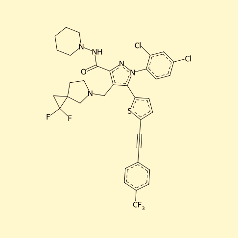 O=C(NN1CCCCC1)c1nn(-c2ccc(Cl)cc2Cl)c(-c2ccc(C#Cc3ccc(C(F)(F)F)cc3)s2)c1CN1CCC2(C1)CC2(F)F